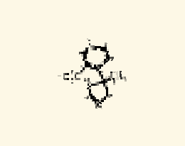 CC1(c2ccncc2C(=O)O)CC=CS1